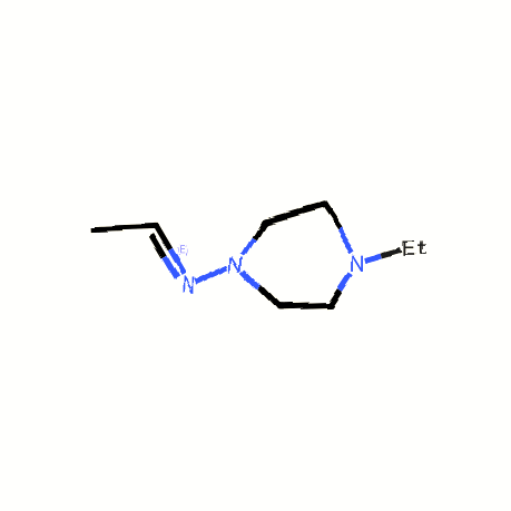 C/C=N/N1CCN(CC)CC1